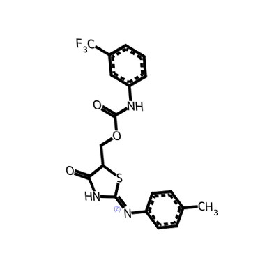 Cc1ccc(/N=C2/NC(=O)C(COC(=O)Nc3cccc(C(F)(F)F)c3)S2)cc1